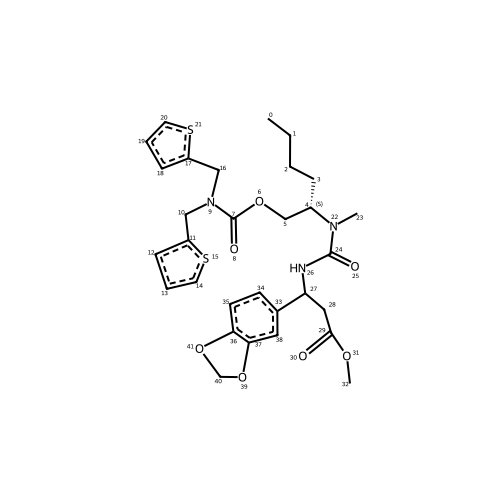 CCCC[C@@H](COC(=O)N(Cc1cccs1)Cc1cccs1)N(C)C(=O)NC(CC(=O)OC)c1ccc2c(c1)OCO2